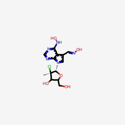 C[C@@]1(Cl)C(O)C(CO)O[C@H]1n1cc(C=NO)c2c(NO)ncnc21